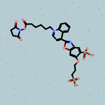 O=C(CCCCC[n+]1ccc(-c2nc3cc(S(=O)(=O)O)c(OCCCS(=O)(=O)O)cc3o2)c2ccccc21)ON1C(=O)CCC1=O